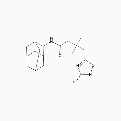 CC(C)c1noc(CC(C)(C)CC(=O)NC2C3CC4CC(C3)CC2C4)n1